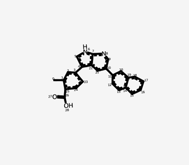 Cc1cc(-c2c[nH]c3ncc(-c4ccc5ccccc5c4)cc23)ccc1C(=O)O